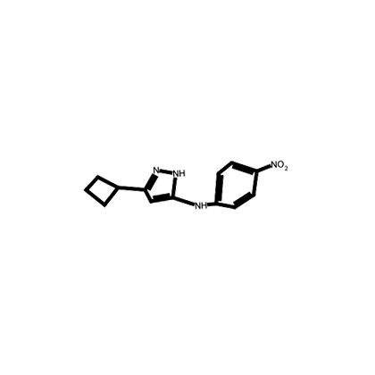 O=[N+]([O-])c1ccc(Nc2cc(C3CCC3)n[nH]2)cc1